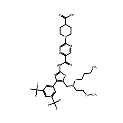 CCCCSN(CCOC)Cc1sc(NC(=O)c2cnc(N3CCC(C(=O)O)CC3)cn2)nc1-c1cc(C(F)(F)F)cc(C(F)(F)F)c1